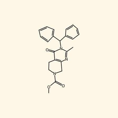 COC(=O)N1CCc2c(nc(C)n(C(c3ccccc3)c3ccccc3)c2=O)C1